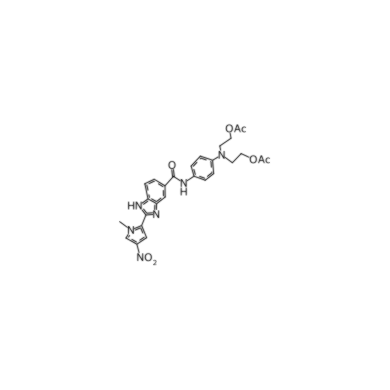 CC(=O)OCCN(CCOC(C)=O)c1ccc(NC(=O)c2ccc3[nH]c(-c4cc([N+](=O)[O-])cn4C)nc3c2)cc1